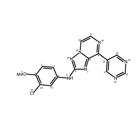 COc1ccc(Nc2nc3c(-c4cncnc4)nccn3n2)cc1Cl